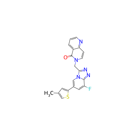 Cc1csc(-c2cc(F)c3nnc(Cn4ccc5ncccc5c4=O)n3c2)c1